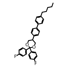 CCCCCc1ccc(-c2ccc(C3COC(c4ccc(F)cc4)(c4ccc(F)cc4)OC3)cc2)cc1